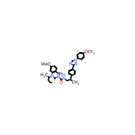 COc1ccc(C(C)C)c(N2C(C)CCSC2NC(=O)NCC(C)c2ccc(-c3ncn(-c4ccc(OC(F)(F)F)cc4)n3)cc2)c1